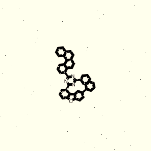 c1ccc(-c2ccc3oc4cccc(-c5nc(-c6ccccc6)nc(-c6cccc7c6ccc6ccc8ccccc8c67)n5)c4c3c2)cc1